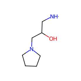 [NH]CC(O)CN1CCCC1